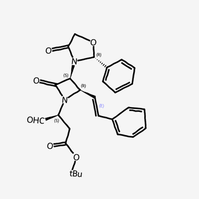 CC(C)(C)OC(=O)C[C@@H](C=O)N1C(=O)[C@@H](N2C(=O)CO[C@@H]2c2ccccc2)[C@H]1/C=C/c1ccccc1